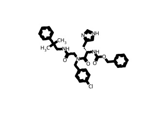 CC(C)(CNC(=O)CN(Cc1ccc(Cl)cc1)C(=O)[C@H](Cc1c[nH]cn1)NC(=O)OCc1ccccc1)c1ccccc1